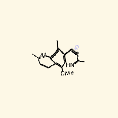 COc1cc(/C=C\C(C)=N)c(C)c2nc(C)ccc12